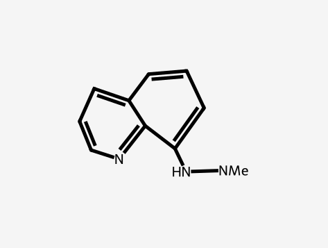 CNNc1cccc2cccnc12